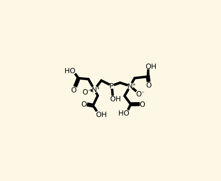 O=C(O)C[N+]([O-])(CC(=O)O)CP(O)C[N+]([O-])(CC(=O)O)CC(=O)O